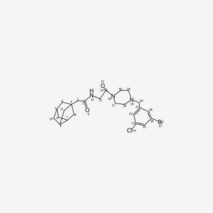 O=C(CC12CC3CC(C1)C(C3)C2)NCC(=O)N1CCN(Cc2cc(Cl)cc(Br)c2)CC1